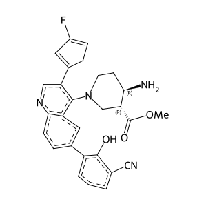 COC(=O)[C@@H]1CN(c2c(C3=CC(F)=CC3)cnc3ccc(-c4cccc(C#N)c4O)cc23)CC[C@H]1N